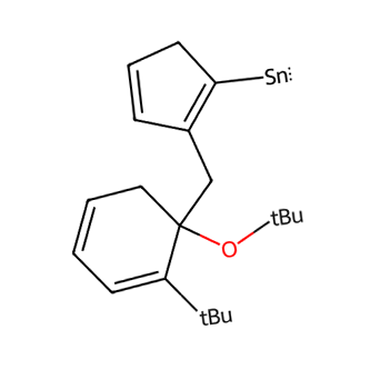 CC(C)(C)OC1(CC2=[C]([Sn])CC=C2)CC=CC=C1C(C)(C)C